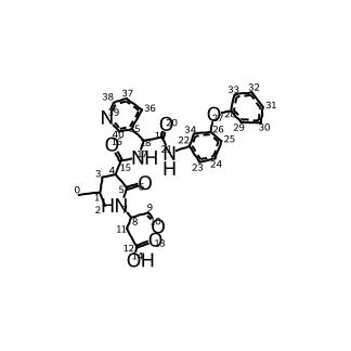 CC(C)CC(C(=O)NC(C=O)CC(=O)O)C(=O)NC(C(=O)Nc1cccc(Oc2ccccc2)c1)c1cccnc1